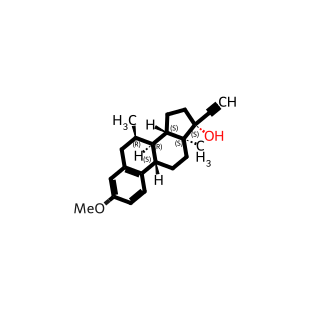 C#C[C@]1(O)CC[C@H]2[C@@H]3[C@H](C)Cc4cc(OC)ccc4[C@H]3CC[C@@]21C